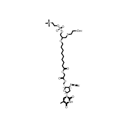 CCCCCCCCCCCCSCC(COP(=O)([O-])OCC[N+](C)(C)C)OCCCCCCCCC(=O)OCC(=O)OC[C@H]1O[C@@H](n2cc(C)c(=O)[nH]c2=O)C[C@@H]1N=[N+]=[N-]